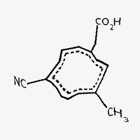 Cc1cc(C#N)cc(C(=O)O)c1